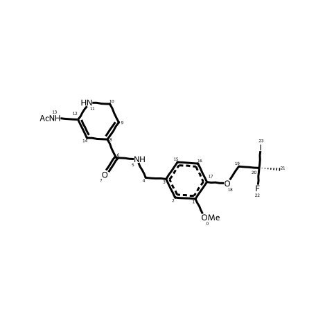 COc1cc(CNC(=O)C2=CCNC(NC(C)=O)=C2)ccc1OC[C@](C)(F)I